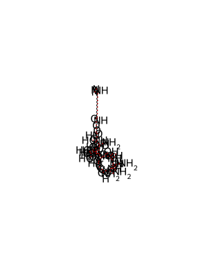 C=C(C[C@@H]1NC(=O)[C@H](CCCNCN)NC(=O)[C@@H](Cc2ccccc2)NC(=O)[C@@H]2C[C@@H](O)CN2C(=O)[C@@H](NC(=O)[C@H](CCCC)NC(=O)[C@H](CN(CC(=O)O)CC(=O)O)NC(=O)[C@H](C/C(N)=C/N)NC(=O)[C@H](CCC(N)=O)NC(=O)[C@H](CO)NC(=O)CNC(=O)COCCOCCNC(=O)CCCCCCCCCCCCCCCc2nnn[nH]2)CCC(=O)NCCCC[C@@H](C(N)=O)NC1=O)c1ccccc1N